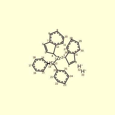 C1=C[CH]([Zr+2]([CH]2C=Cc3ccccc32)[SiH](c2ccccc2)c2ccccc2)c2ccccc21.[H-].[H-]